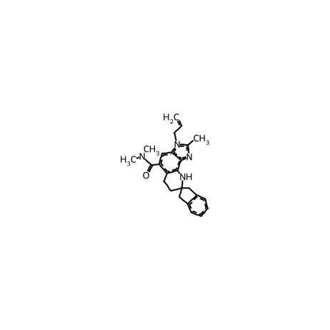 C=CCn1c(C)nc2c3c(c(C(=O)N(C)C)cc21)CCC1(Cc2ccccc2C1)N3